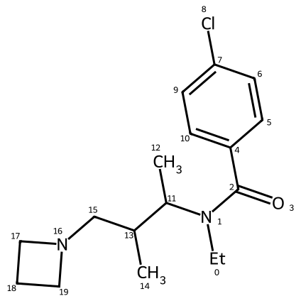 CCN(C(=O)c1ccc(Cl)cc1)C(C)C(C)CN1CCC1